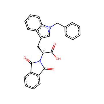 O=C(O)[C@H](Cc1cn(Cc2ccccc2)c2ccccc12)N1C(=O)c2ccccc2C1=O